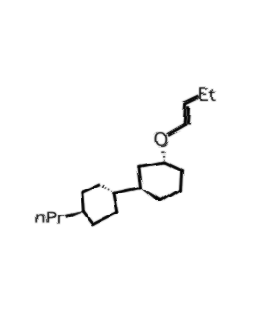 CCC=CO[C@@H]1CCC[C@@H]([C@H]2CC[C@H](CCC)CC2)C1